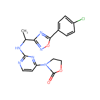 CC(Nc1nccc(N2CCOC2=O)n1)c1noc(-c2ccc(Cl)cc2)n1